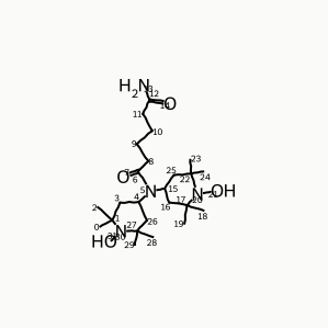 CC1(C)CC(N(C(=O)CCCCC(N)=O)C2CC(C)(C)N(O)C(C)(C)C2)CC(C)(C)N1O